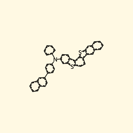 c1ccc(N(c2ccc(-c3ccc4ccccc4c3)cc2)c2ccc3c(c2)sc2ccc4c5cc6ccccc6cc5sc4c23)cc1